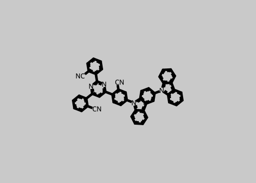 N#Cc1ccccc1-c1cc(-c2ccc(-n3c4ccccc4c4cc(-n5c6ccccc6c6ccccc65)ccc43)cc2C#N)nc(-c2ccccc2C#N)n1